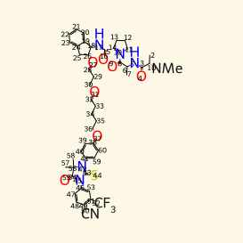 CN[C@@H](C)C(=O)NC(C)C(=O)N1CCC[C@H]1C(=O)N[C@H]1c2ccccc2C[C@H]1OCCCOCCCCCOc1ccc(N2C(=S)N(c3ccc(C#N)c(C(F)(F)F)c3)C(=O)C2(C)C)cc1